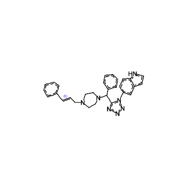 C(=C\c1ccccc1)/CN1CCN(C(c2ccccc2)c2nnnn2-c2ccc3[nH]ccc3c2)CC1